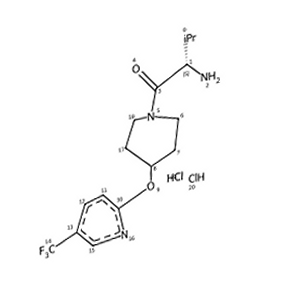 CC(C)[C@H](N)C(=O)N1CCC(Oc2ccc(C(F)(F)F)cn2)CC1.Cl.Cl